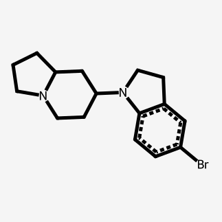 Brc1ccc2c(c1)CCN2C1CCN2CCCC2C1